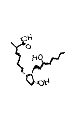 CCCCC[C@H](O)C=C[C@@H]1[C@@H](CCCCCC(C)C(=O)O)CC[C@H]1O